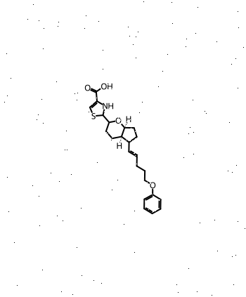 O=C(O)C1=CSC(C2CC[C@@H]3C(/C=C/CCCOc4ccccc4)CC[C@@H]3O2)N1